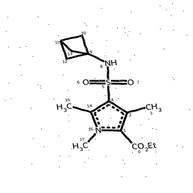 CCOC(=O)c1c(C)c(S(=O)(=O)NC23CC(C2)C3)c(C)n1C